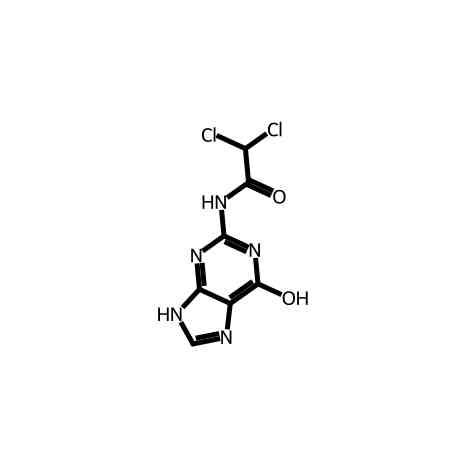 O=C(Nc1nc(O)c2nc[nH]c2n1)C(Cl)Cl